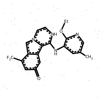 CCOc1ncc(C)cc1Nc1[nH]ccn2cc3c(C(F)(F)F)cc(=O)cc3c12